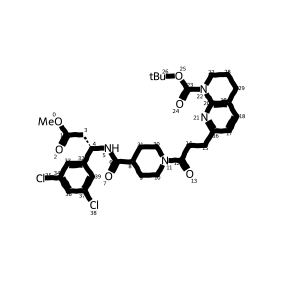 COC(=O)C[C@H](NC(=O)C1CCN(C(=O)CCc2ccc3c(n2)N(C(=O)OC(C)(C)C)CCC3)CC1)c1cc(Cl)cc(Cl)c1